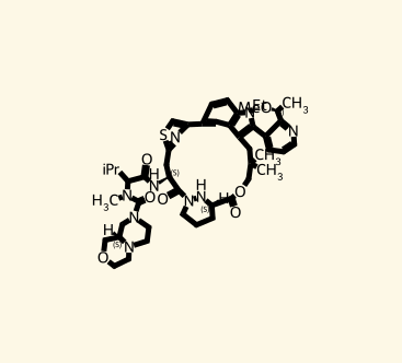 CCn1c(-c2cccnc2[C@H](C)OC)c2c3cc(ccc31)-c1csc(n1)C[C@H](NC(=O)C(C(C)C)N(C)C(=O)N1CCN3CCOC[C@@H]3C1)C(=O)N1CCC[C@H](N1)C(=O)OCC(C)(C)C2